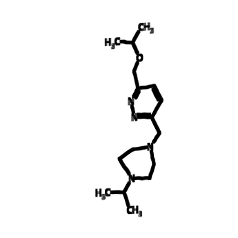 CC(C)OCc1ccc(CN2CCN(C(C)C)CC2)nn1